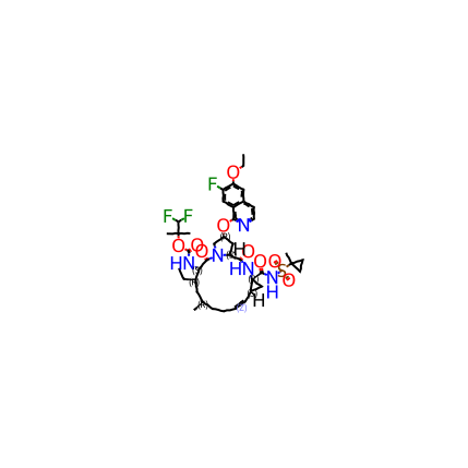 CCOc1cc2ccnc(O[C@@H]3C[C@H]4C(=O)N[C@]5(C(=O)NS(=O)(=O)C6(C)CC6)C[C@H]5/C=C\CC[C@@H](C)C[C@@H](CC)[C@H](NC(=O)OC(C)(C)C(F)F)C(=O)N4C3)c2cc1F